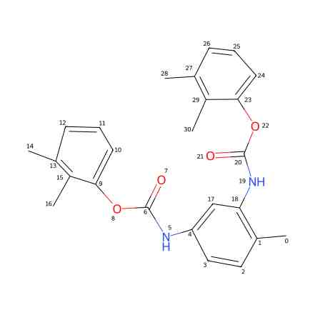 Cc1ccc(NC(=O)Oc2cccc(C)c2C)cc1NC(=O)Oc1cccc(C)c1C